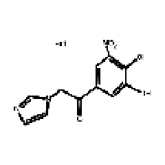 Cl.O=C(Cn1ccnc1)c1cc(O)c(O)c([N+](=O)[O-])c1